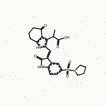 CC(C(=O)O)c1c(/C=C2\C(=O)Nc3ccc(S(=O)(=O)N4CCCC4)cc32)[nH]c2c1C(=O)CCC2